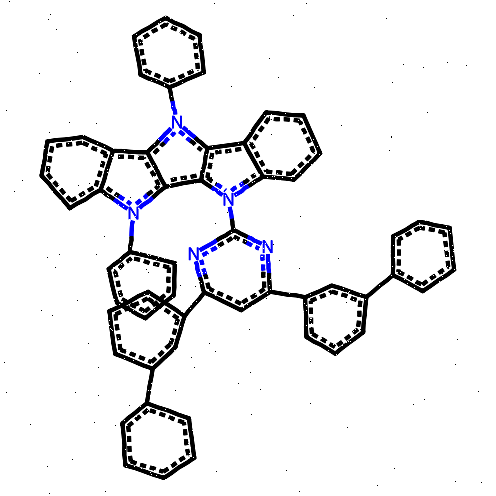 c1ccc(-c2cccc(-c3cc(-c4cccc(-c5ccccc5)c4)nc(-n4c5ccccc5c5c4c4c(c6ccccc6n4-c4ccccc4)n5-c4ccccc4)n3)c2)cc1